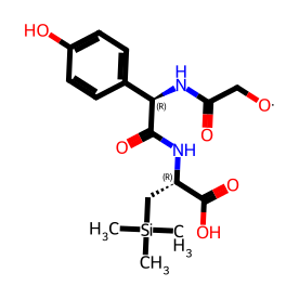 C[Si](C)(C)C[C@H](NC(=O)[C@H](NC(=O)C[O])c1ccc(O)cc1)C(=O)O